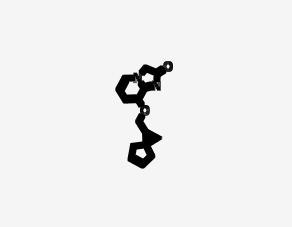 O=C1CN2C=CC=C(OCC3CC34CC=CC4)C2=N1